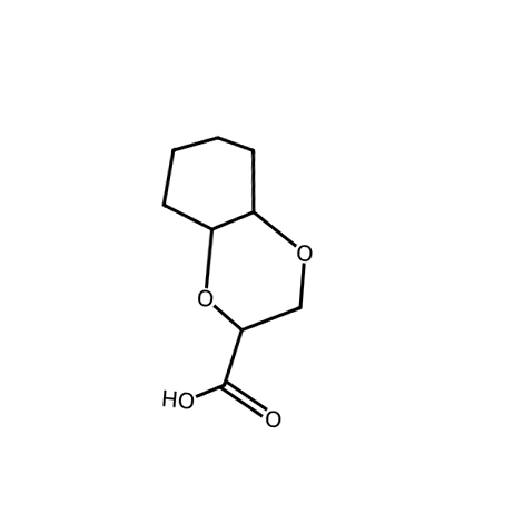 O=C(O)C1COC2CCCCC2O1